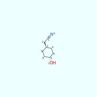 N#CC[C@H]1CC[C@H](O)CC1